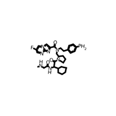 CNCC(=O)NC(C(=O)N1CCCC1CN(CCc1ccc(P)cc1)C(=O)c1cn2cc(F)cnc2n1)C1CCCCC1